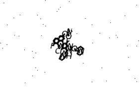 C#Cc1c(F)ccc2cc(OC(=O)N(C)C)cc(-c3nc(Cl)c4c(N5CC6CCC(C5)N6)nc(OCC56CCCN5CCC6)nc4c3F)c12